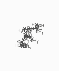 CC(=O)NC1C(OCCOCCNC(=O)C(CCC(N)=O)NC(=O)CCC(NC(=O)C2CCC(OC(C)(C)C)CC2)C(=O)NCCOCCOC2O[C@H](CO)[C@H](O)[C@H](O)[C@H]2NC(C)=O)O[C@H](CO)[C@H](O)[C@@H]1O